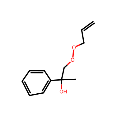 C=CCOOCC(C)(O)c1ccccc1